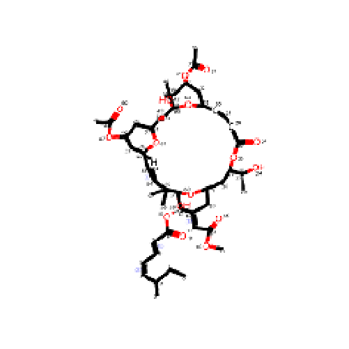 CCC(C)/C=C\C=C\C(=O)O[C@H]1/C(=C/C(=O)OC)CC2CC([C@H](C)O)OC(=O)CCCC3CC(OC(C)=O)C(C)(C)[C@@](O)(C[C@H]4CC(OC(C)=O)C[C@@H](/C=C\C(C)(C)C1(O)O2)O4)O3